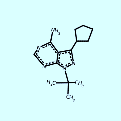 CC(C)(C)n1nc(C2CCCC2)c2c(N)ncnc21